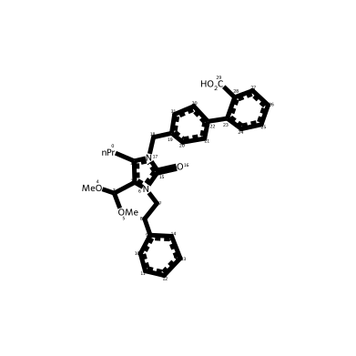 CCCc1c(C(OC)OC)n(CCc2ccccc2)c(=O)n1Cc1ccc(-c2ccccc2C(=O)O)cc1